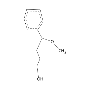 COC(CCCO)c1ccccc1